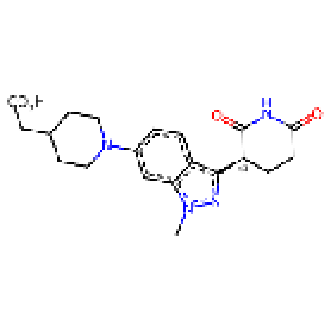 Cn1nc([C@@H]2CCC(=O)NC2=O)c2ccc(N3CCC(CC(=O)O)CC3)cc21